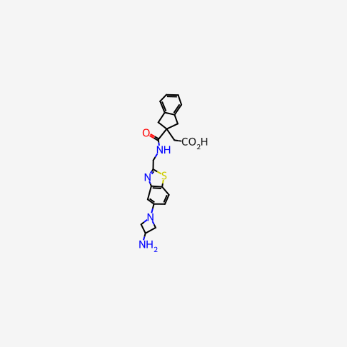 NC1CN(c2ccc3sc(CNC(=O)C4(CC(=O)O)Cc5ccccc5C4)nc3c2)C1